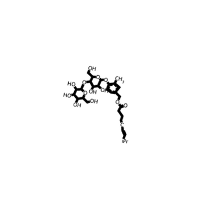 Cc1cc(COC(=O)CCCC/C=C/C(C)C)ccc1OC1OC(CO)C(OC2OC(CO)C(O)C(O)C2O)C(O)C1O